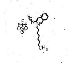 CCCCCCCC[n+]1cc2ccccc2cc1N=C=S.O=S(=O)([O-])C(F)(F)F